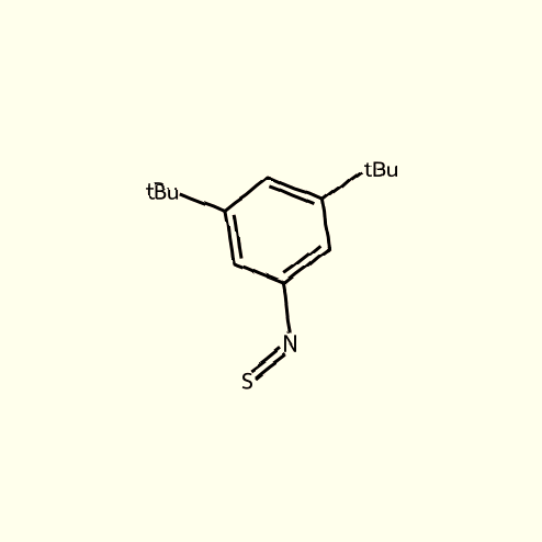 CC(C)(C)c1cc(N=S)cc(C(C)(C)C)c1